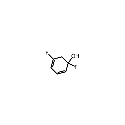 OC1(F)C=CC=C(F)C1